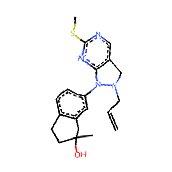 C=CCN1Cc2cnc(SC)nc2N1c1ccc2c(c1)C(C)(O)CC2